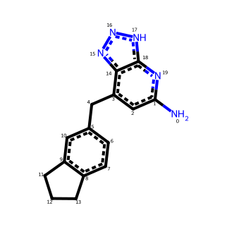 Nc1cc(Cc2ccc3c(c2)CCC3)c2nn[nH]c2n1